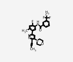 CC#Cc1nnc(-c2cc(NC(=O)c3cccc(C(C)(F)F)c3)c(F)cc2C)cc1N1CCOCC1